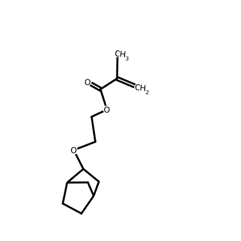 C=C(C)C(=O)OCCOC1CC2CCC1C2